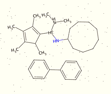 CC1=C(C)C(C)[C]([Hf]([NH]C2CCCCCCCC2)[SiH](C)C)=C1C.c1ccc(-c2ccccc2)cc1